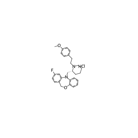 COc1ccc(CCN2CCCC[C@@H]2CN2c3cc(F)ccc3COc3ccccc32)cc1.Cl